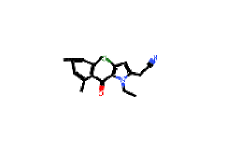 CCn1c(CC#N)cc(Cl)c1C(=O)c1c(C)cc(C)cc1C